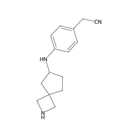 N#CCc1ccc(NC2CCC3(CNC3)C2)cc1